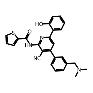 CN(C)Cc1cccc(-c2cc(-c3ccccc3O)nc(NC(=O)c3cccs3)c2C#N)c1